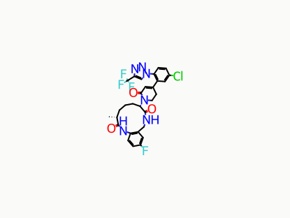 C[C@@H]1CCC[C@H](N2CCC(c3cc(Cl)ccc3-n3cc(C(F)(F)F)nn3)=CC2=O)C(=O)NCc2cc(F)ccc2NC1=O